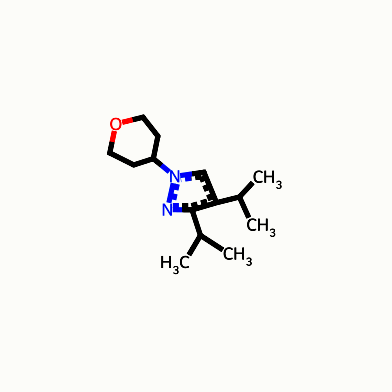 CC(C)c1cn(C2CCOCC2)nc1C(C)C